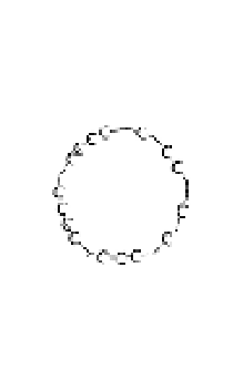 [CH]1CCCCCCCCCCCCCCCCCCCCCCC1